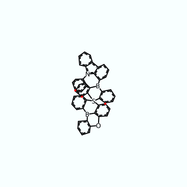 c1ccc(-n2c3ccccc3c3cccc(B4c5ccccc5S5(c6ccccc6B6c7ccccc7Oc7cccc5c76)c5ccccc54)c32)cc1